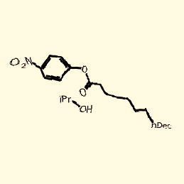 CC(C)O.CCCCCCCCCCCCCCCC(=O)Oc1ccc([N+](=O)[O-])cc1